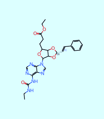 CCNC(=O)Nc1ncnc2c1ncn2C1OC(CCC(=O)OCC)C2O[C@H](/C=C/c3ccccc3)OC21